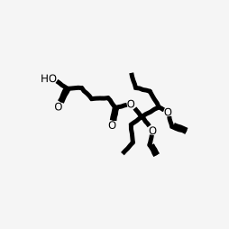 C=COC(CCC)C(CCC)(OC=C)OC(=O)CCCC(=O)O